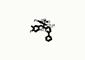 Cc1cc(CC(O)(c2cccc(-c3ccccc3)n2)C(C#CC(C)C)(C(=O)O)[PH](=O)O)ccc1F